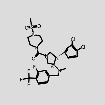 CN(Cc1ccc(C(F)(F)F)c(F)c1)[C@H]1CN(C(=O)N2CCN(S(C)(=O)=O)CC2)C[C@@H]1c1ccc(Cl)c(Cl)c1